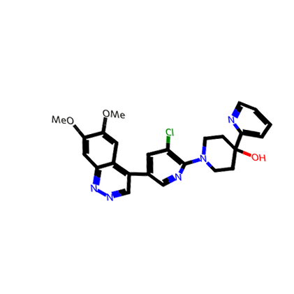 COc1cc2nncc(-c3cnc(N4CCC(O)(c5ccccn5)CC4)c(Cl)c3)c2cc1OC